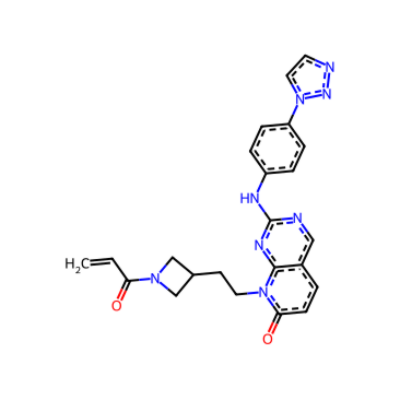 C=CC(=O)N1CC(CCn2c(=O)ccc3cnc(Nc4ccc(-n5ccnn5)cc4)nc32)C1